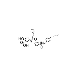 CCCCCc1ccc(CNC(=O)c2ccc(CN(C(=O)CCC3CCCC3)c3ccc(O)c(C(=O)O)c3)cc2)cc1